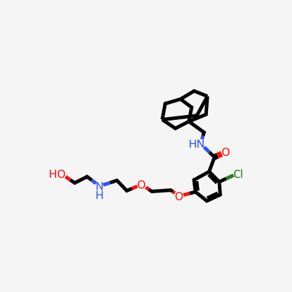 O=C(NCC12CC3CC(CC(C3)C1)C2)c1cc(OCCOCCNCCO)ccc1Cl